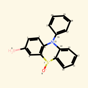 Bc1ccc2c(c1)[S+]([O-])c1ccccc1N2c1ccccc1